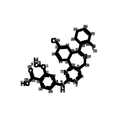 COc1cc(Nc2ncc3c(n2)C2C=CC(Cl)=CC2C(C2=C(F)C=CCC2)=NC3)ccc1C(=O)O